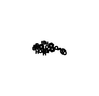 C=C(C(=O)Nc1cc(C(C)(C)C)cc(NS(C)(=O)=O)c1OC)c1ccc(OCCN2CCOCC2)c2ccccc12